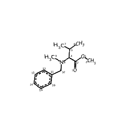 COC(=O)C(C(C)C)N(C)Cc1ccccc1